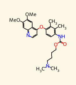 COc1cc2nccc(Oc3ccc(NC(=O)OCCCCN(C)C)c(C)c3C)c2cc1OC